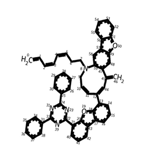 C=C/C=C\C=C/CCN1C/C=C\C(c2cccc3c2oc2c(-c4nc(-c5ccccc5)nc(-c5ccccc5)n4)cccc23)=C/C(=C)c2cc3oc4ccccc4c3cc21